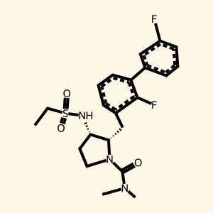 CCS(=O)(=O)N[C@H]1CCN(C(=O)N(C)C)[C@H]1Cc1cccc(-c2cccc(F)c2)c1F